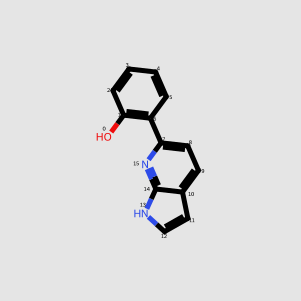 Oc1ccc[c]c1-c1ccc2cc[nH]c2n1